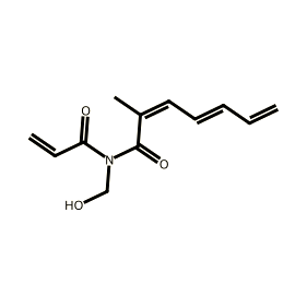 C=CC=CC=C(C)C(=O)N(CO)C(=O)C=C